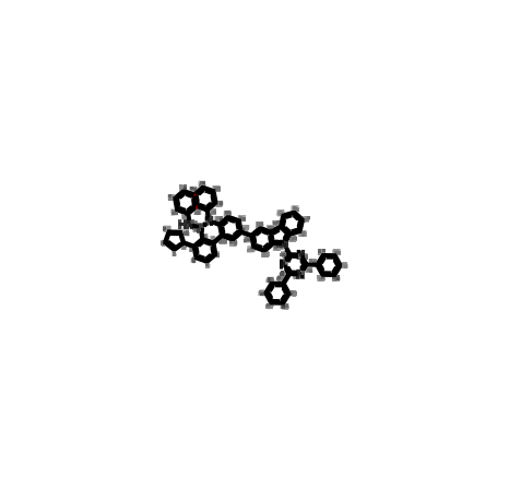 C1=CC(c2cccc3c2B(Nc2ccccc2)N(c2ccccc2)c2ccc(-c4ccc5c(c4)c4ccccc4n5-c4nc(-c5ccccc5)nc(-c5ccccc5)n4)cc2-3)C=C1